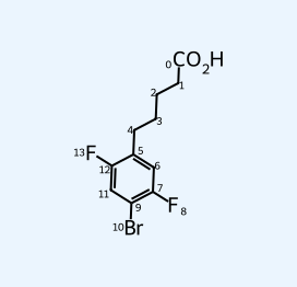 O=C(O)CCCCc1cc(F)c(Br)cc1F